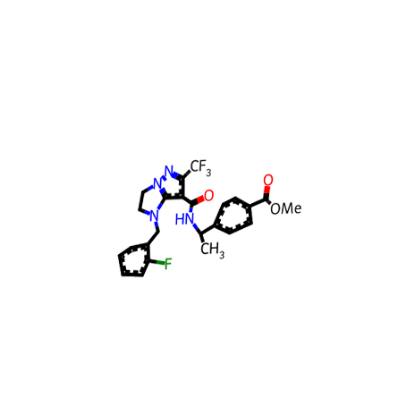 COC(=O)c1ccc(C(C)NC(=O)c2c(C(F)(F)F)nn3c2N(Cc2ccccc2F)CC3)cc1